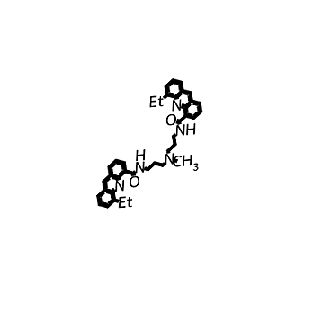 CCc1cccc2cc3cccc(C(=O)NCCCN(C)CCCNC(=O)c4cccc5cc6cccc(CC)c6nc45)c3nc12